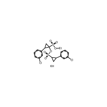 CCOS(=O)(=O)C1(OS(=O)(=O)C2CC2c2cccc(Cl)c2)CC1c1cccc(Cl)c1.[KH]